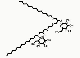 CCCCCCCCCCCCCCOCC(COCCOCC(COCCCCCCCCCCCCCC)O[C@@H]1OC(CO)[C@@H](O)C(O)[C@@H]1O)O[C@@H]1OC(CO)[C@@H](O)C(O)[C@@H]1O